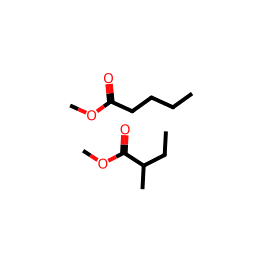 CCC(C)C(=O)OC.CCCCC(=O)OC